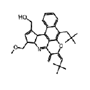 C=C1C2=NC3C(COC)C=C(CO)C3c3c2c(c(CC(C)(C)C)c2ccccc32)O/C1=C/C(C)(C)C